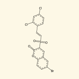 O=c1oc2ccc(Br)cc2cc1S(=O)(=O)C=Cc1ccc(Cl)cc1Cl